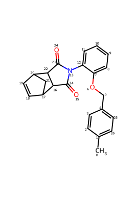 Cc1ccc(COc2ccccc2N2C(=O)C3C4C=CC(C4)C3C2=O)cc1